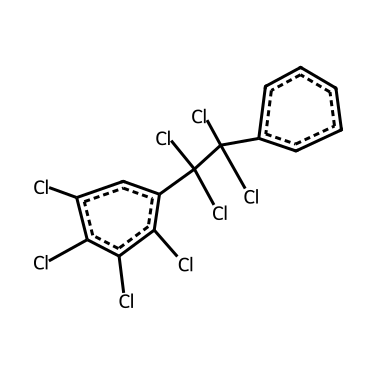 Clc1cc(C(Cl)(Cl)C(Cl)(Cl)c2ccccc2)c(Cl)c(Cl)c1Cl